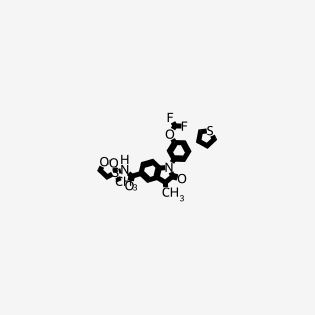 C1CCSC1.CC1C(=O)N(c2cccc(OC(F)F)c2)c2ccc(C(=O)NS3(C)CCOO3)cc21